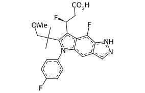 COCC(C)(C)c1c([C@@H](F)CC(=O)O)c2c(F)c3[nH]ncc3cc2n1-c1ccc(F)cc1